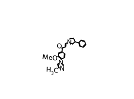 COc1cc(C(=O)/C=C/N2CCC(c3ccccc3)C2)ccc1-n1cnc(C)c1